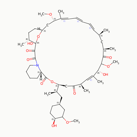 COC1C(=O)[C@H](C)C[C@H](C)/C=C/C=C/C=C(\C)[C@@H](OC)C[C@@H]2CC[C@@H](C)[C@@](O)(O2)C(=O)C(=O)N2CCCC[C@H]2C(=O)O[C@H]([C@H](C)C[C@@H]2CC[C@H](O)C(OC)C2)CC(=O)[C@H](C)/C=C(\C)[C@H]1O